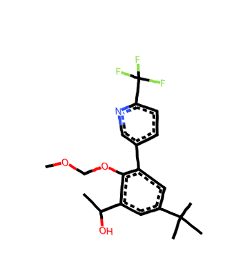 COCOc1c(-c2ccc(C(F)(F)F)nc2)cc(C(C)(C)C)cc1C(C)O